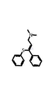 CN(C)C/C=C(\Sc1ccccc1)c1ccccc1